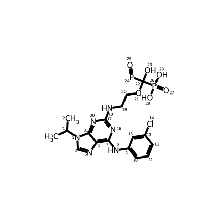 CC(C)n1cnc2c(Nc3cccc(Cl)c3)nc(NCCOC(O)(P=O)P(=O)(O)O)nc21